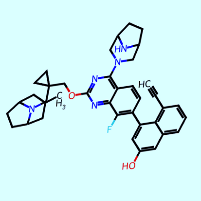 C#Cc1cccc2cc(O)cc(-c3ccc4c(N5CC6CCC(C5)N6)nc(OCC5(CN6C7CCC6CC(C)C7)CC5)nc4c3F)c12